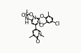 Cc1cc(Cl)cc(Cl)c1Oc1nc(NS(C)(=O)=O)cc(-c2cc(C)c(=O)n(C)c2)n1